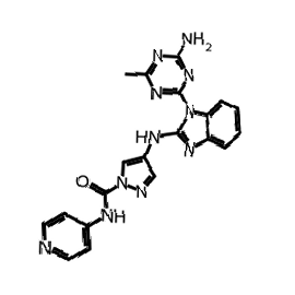 Cc1nc(N)nc(-n2c(Nc3cnn(C(=O)Nc4ccncc4)c3)nc3ccccc32)n1